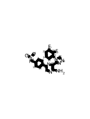 Nc1ncc(-c2ccc(C[SH](=O)=O)cc2)nc1-c1nncn1-c1cccc(F)c1F